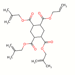 C=CCOC(=O)C1CC(C(=O)OCC(=C)C)C(C(=O)OCC(=C)C)CC1C(=O)OCC(=C)C